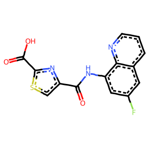 O=C(Nc1cc(F)cc2cccnc12)c1csc(C(=O)O)n1